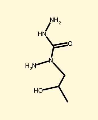 CC(O)CN(N)C(=O)NN